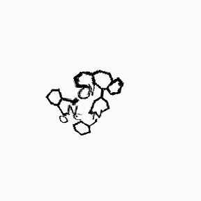 O=C1C2CCCCC2C(=O)N1C[C@H]1CCCC[C@@H]1CN1CCC(=C2c3ccccc3CCc3cccnc32)CC1